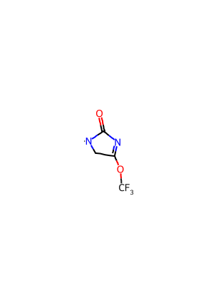 O=C1[N]CC(OC(F)(F)F)=N1